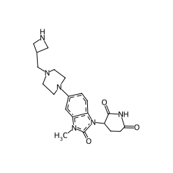 Cn1c(=O)n(C2CCC(=O)NC2=O)c2ccc(N3CCN(CC4CNC4)CC3)cc21